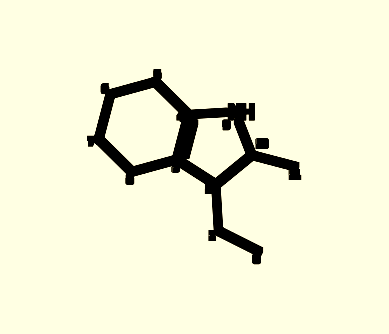 CCC1C2=C(CCCC2)NC1C